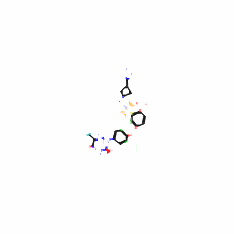 N#CC1CC(NS(=O)(=O)c2cc(Oc3c(Cl)cc(-n4nc(C(F)F)c(=O)[nH]c4=O)cc3Cl)ccc2O)C1